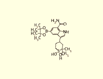 CC1(C)OB(c2cc(C(N)=O)c3[nH]cc(C4CCS(O)(O)C(C)(C)C4)c3c2)OC1(C)C